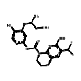 COCC(C)Nc1cc(NC(=O)N2CCCc3cc(C(F)F)c(C=O)nc32)ncc1C#N